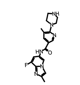 Cc1cn2cc(NC(=O)c3cnc(N4CCNCC4)c(C)c3)cc(F)c2n1